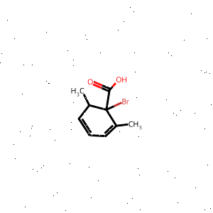 CC1=CC=CC(C)C1(Br)C(=O)O